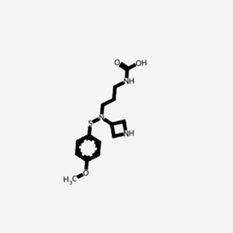 COc1ccc(SN(CCCNC(=O)O)C2CNC2)cc1